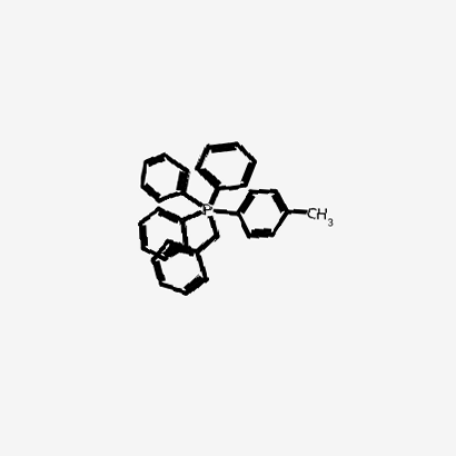 Cc1ccc(P(Cc2ccccc2)(c2ccccc2)(c2ccccc2)c2ccccc2)cc1